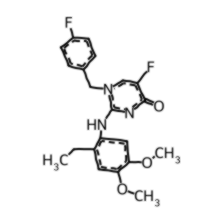 CCc1cc(OC)c(OC)cc1Nc1nc(=O)c(F)cn1Cc1ccc(F)cc1